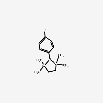 C[Si]1(C)CC[Si](C)(C)N1c1ccc(Cl)cc1